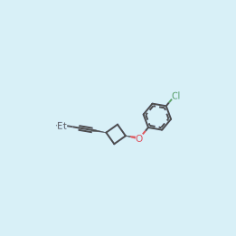 C[CH]C#C[C@H]1C[C@@H](Oc2ccc(Cl)cc2)C1